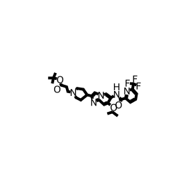 CC(C)Oc1cc2nc(C3CCN(CCC(=O)OC(C)(C)C)CC3)cn2cc1NC(=O)c1cccc(C(F)(F)F)n1